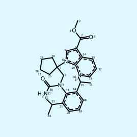 COC(=O)c1cn(C2(CN(C(N)=O)c3c(C(C)C)cccc3C(C)C)CCCC2)c2ncccc12